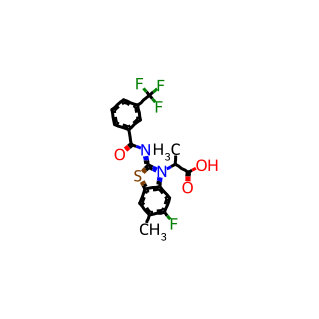 Cc1cc2sc(=NC(=O)c3cccc(C(F)(F)F)c3)n(C(C)C(=O)O)c2cc1F